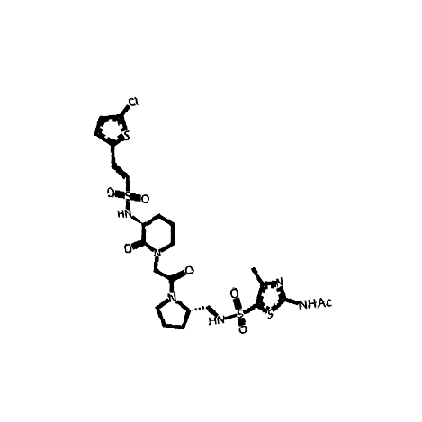 CC(=O)Nc1nc(C)c(S(=O)(=O)NC[C@@H]2CCCN2C(=O)CN2CCC[C@H](NS(=O)(=O)/C=C/c3ccc(Cl)s3)C2=O)s1